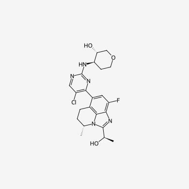 C[C@@H]1CCc2c(-c3nc(N[C@@H]4CCOC[C@H]4O)ncc3Cl)cc(F)c3nc([C@@H](C)O)n1c23